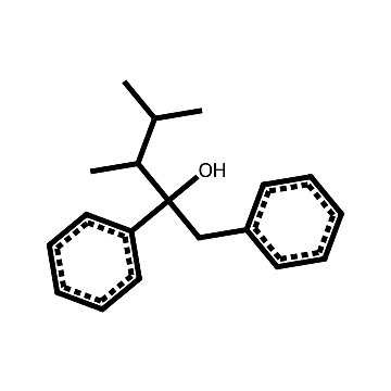 CC(C)C(C)C(O)(Cc1ccccc1)c1ccccc1